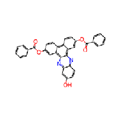 O=C(Oc1ccc2c3ccc(OC(=O)c4ccccc4)cc3c3nc4cc(O)ccc4nc3c2c1)c1ccccc1